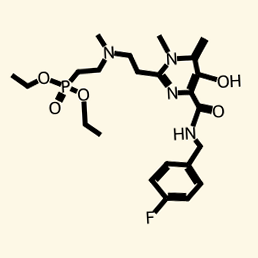 C=C1C(O)=C(C(=O)NCc2ccc(F)cc2)N=C(CCN(C)CCP(=O)(OCC)OCC)N1C